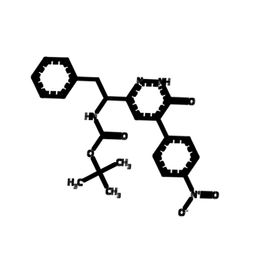 CC(C)(C)OC(=O)NC(Cc1ccccc1)c1cc(-c2ccc([N+](=O)[O-])cc2)c(=O)[nH]n1